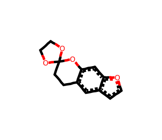 c1cc2cc3c(cc2o1)OC1(CC3)OCCO1